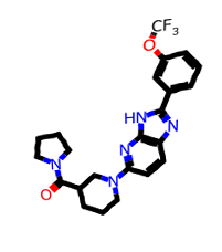 O=C(C1CCCN(c2ccc3nc(-c4cccc(OC(F)(F)F)c4)[nH]c3n2)C1)N1CCCC1